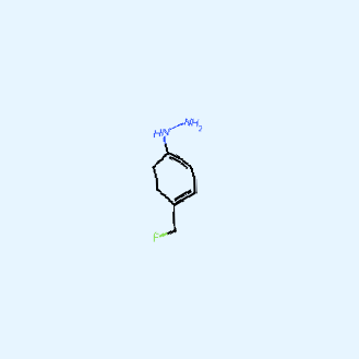 NNC1=CC=C(CF)CC1